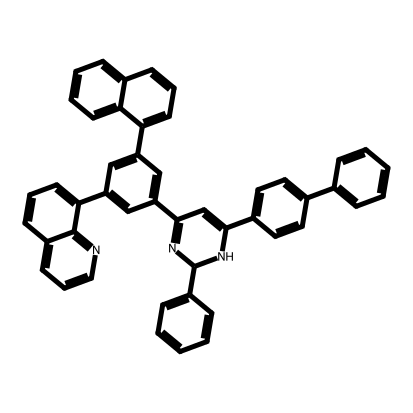 C1=C(c2ccc(-c3ccccc3)cc2)NC(c2ccccc2)N=C1c1cc(-c2cccc3ccccc23)cc(-c2cccc3cccnc23)c1